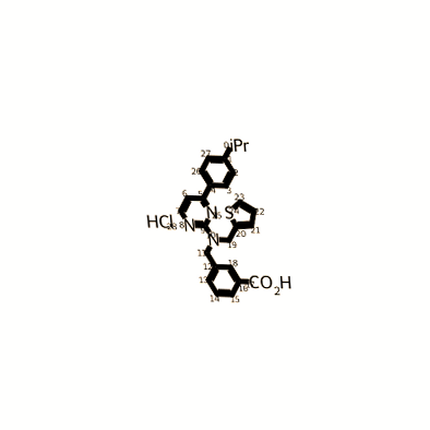 CC(C)c1ccc(-c2ccnc(N(Cc3cccc(C(=O)O)c3)Cc3cccs3)n2)cc1.Cl